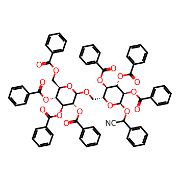 N#CC(O[C@H]1O[C@H](CO[C@@H]2O[C@H](COC(=O)c3ccccc3)[C@@H](OC(=O)c3ccccc3)[C@H](OC(=O)c3ccccc3)[C@H]2OC(=O)c2ccccc2)[C@@H](OC(=O)c2ccccc2)[C@H](OC(=O)c2ccccc2)[C@H]1OC(=O)c1ccccc1)c1ccccc1